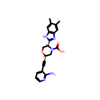 Cc1cc2nc([C@@H]3CO[C@H](C#Cc4cccnc4N)CN3C(=O)O)[nH]c2cc1C